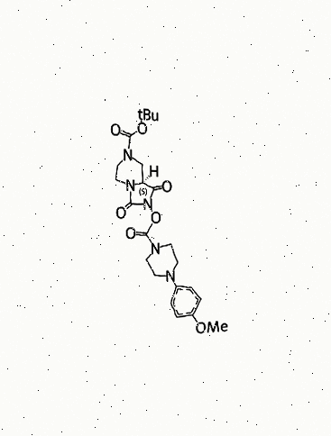 COc1ccc(N2CCN(C(=O)ON3C(=O)[C@@H]4CN(C(=O)OC(C)(C)C)CCN4C3=O)CC2)cc1